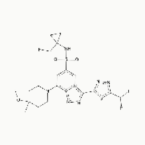 COC1(C)CCN(c2cc(S(=O)(=O)NC3(CF)CC3)cn3c(-c4nnc(C(F)F)s4)nnc23)CC1